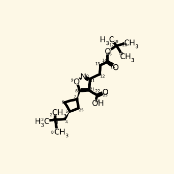 CC(C)(C)C[C@H]1C[C@@H](c2onc(CCC(=O)OC(C)(C)C)c2C(=O)O)C1